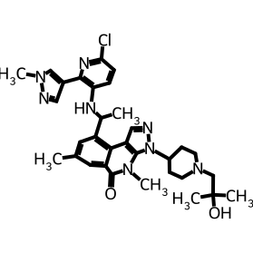 Cc1cc(C(C)Nc2ccc(Cl)nc2-c2cnn(C)c2)c2c(c1)c(=O)n(C)c1c2cnn1C1CCN(CC(C)(C)O)CC1